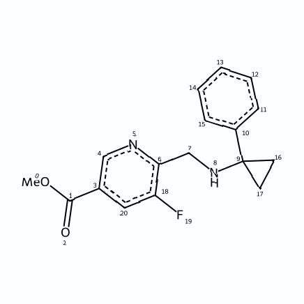 COC(=O)c1cnc(CNC2(c3ccccc3)CC2)c(F)c1